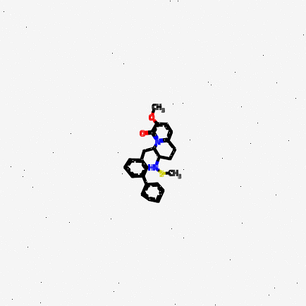 COc1ccc2n(c1=O)C(Cc1cccc(-c3ccccc3)c1)C(NSC)CC2